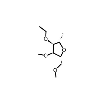 CCO[C@@H]1[C@H](OC)[C@@H](COC)O[C@H]1C